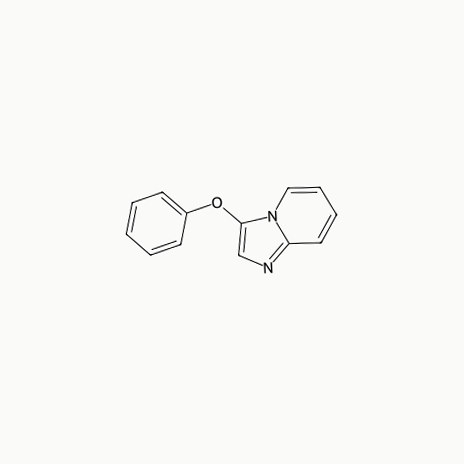 c1ccc(Oc2cnc3ccccn23)cc1